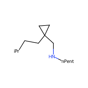 CCCCCNCC1(CCC(C)C)CC1